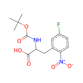 CC(C)(C)OC(=O)NC(Cc1cc(F)ccc1[N+](=O)[O-])C(=O)O